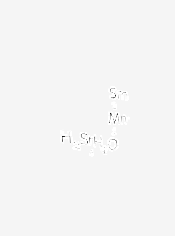 O.[Mn].[Sm].[SrH2]